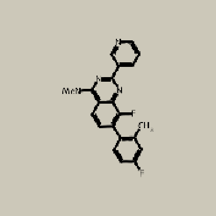 CNc1nc(-c2cccnc2)nc2c(F)c(-c3ccc(F)cc3C)ccc12